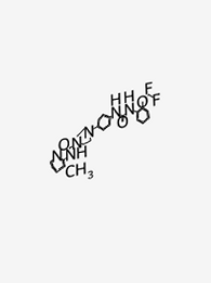 Cc1cccnc1NC(=O)N1CCN(c2ccc(NC(=O)Nc3ccccc3OC(F)F)cc2)CC1